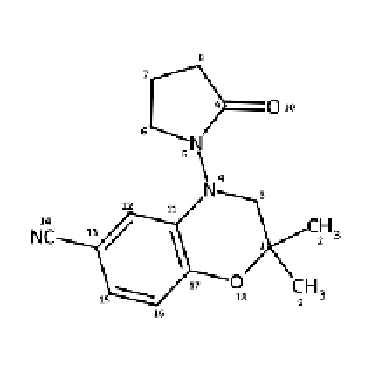 CC1(C)CN(N2CCCC2=O)c2cc(C#N)ccc2O1